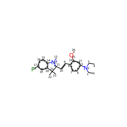 CCN(CC)c1ccc(/C=C/C2=[N+](C)c3ccc(F)cc3C2(C)C)c(OC)c1